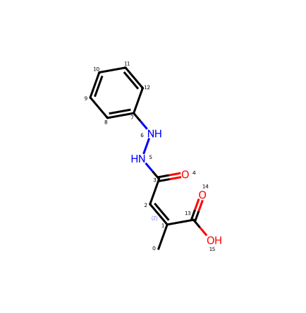 C/C(=C/C(=O)NNc1ccccc1)C(=O)O